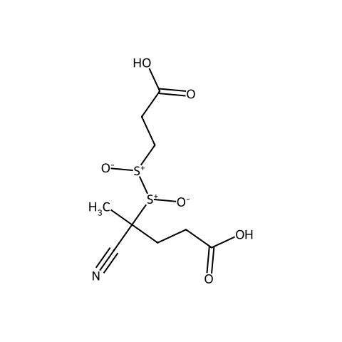 CC(C#N)(CCC(=O)O)[S+]([O-])[S+]([O-])CCC(=O)O